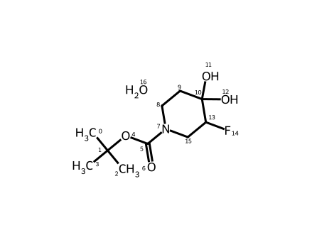 CC(C)(C)OC(=O)N1CCC(O)(O)C(F)C1.O